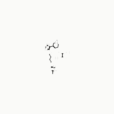 Cc1nnc(SCCCCSc2nsnc2C2=CCCN(C)C2)s1.O=C(O)C(=O)O